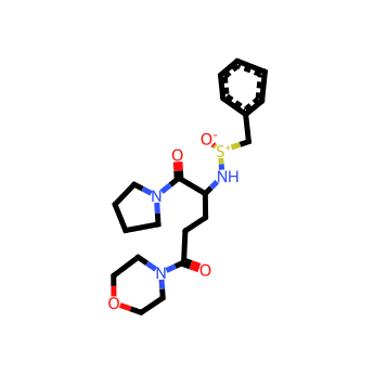 O=C(CCC(N[S+]([O-])Cc1ccccc1)C(=O)N1CCCC1)N1CCOCC1